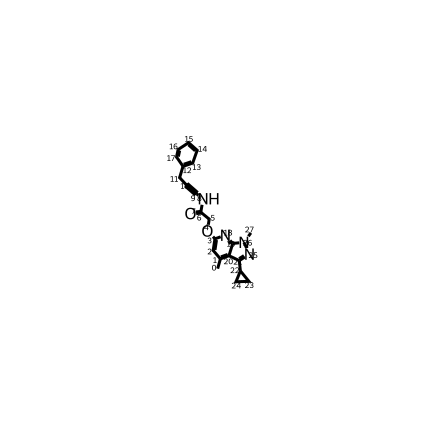 Cc1cc(OCC(=O)NC#CCc2ccccc2)nc2c1c(C1CC1)nn2C